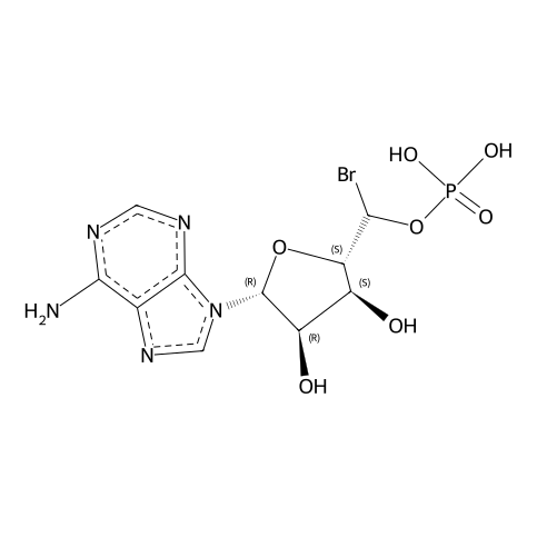 Nc1ncnc2c1ncn2[C@@H]1O[C@H](C(Br)OP(=O)(O)O)[C@@H](O)[C@H]1O